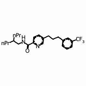 CCCC(CCC)CNC(=O)c1ccc(CCCc2cccc(C(F)(F)F)c2)cn1